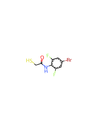 O=C(CS)Nc1c(F)cc(Br)cc1F